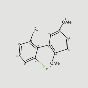 COc1ccc(OC)c(-c2c(C(C)C)[c]ccc2F)c1